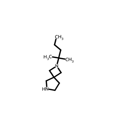 CCCC(C)(C)N1CC2(CCNC2)C1